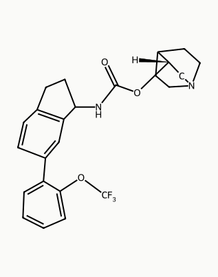 O=C(NC1CCc2ccc(-c3ccccc3OC(F)(F)F)cc21)O[C@H]1CN2CCC1CC2